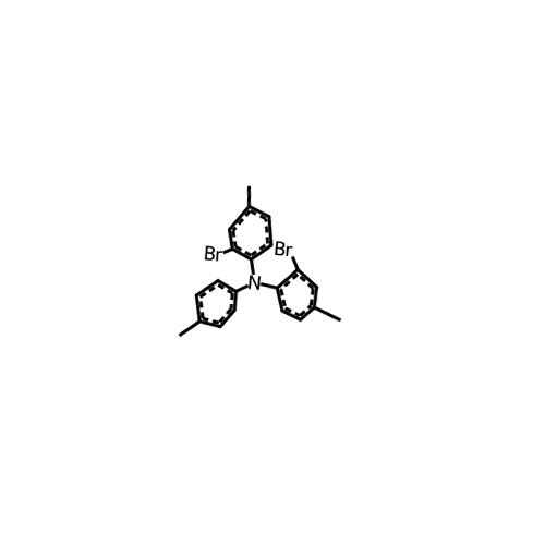 Cc1ccc(N(c2ccc(C)cc2Br)c2ccc(C)cc2Br)cc1